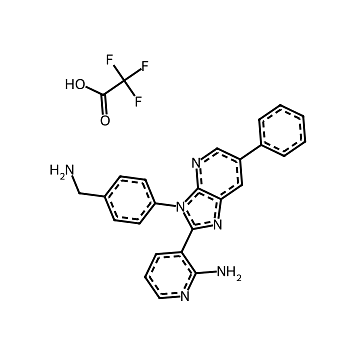 NCc1ccc(-n2c(-c3cccnc3N)nc3cc(-c4ccccc4)cnc32)cc1.O=C(O)C(F)(F)F